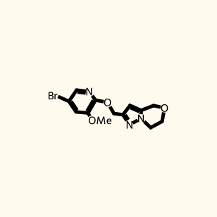 COc1cc(Br)cnc1OCc1cc2n(n1)CCOC2